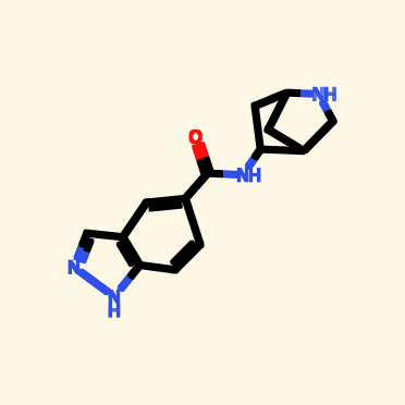 O=C(NC1CC2CC1CN2)c1ccc2[nH]ncc2c1